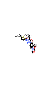 C#Cc1ccc(C(=O)NC(CCC(=O)OC)C(=O)Nc2ccc(N3CCOCC3=O)c(C)c2)s1